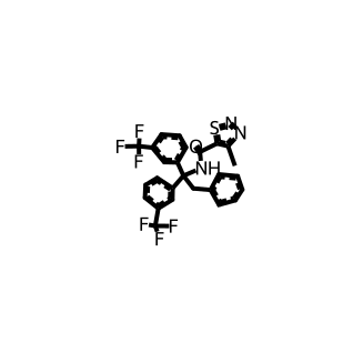 Cc1nnsc1C(=O)NC(Cc1ccccc1)(c1cccc(C(F)(F)F)c1)c1cccc(C(F)(F)F)c1